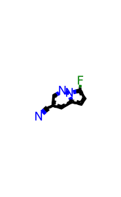 N#Cc1cnn2c(F)ccc2c1